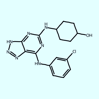 OC1CCC(Nc2nc(Nc3cccc(Cl)c3)c3nn[nH]c3n2)CC1